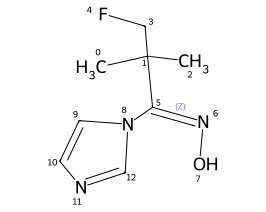 CC(C)(CF)/C(=N/O)n1ccnc1